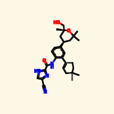 CC1(C)CC=C(c2cc([C@@H]3CC(C)(C)O[C@@](C)(CO)C3)ccc2NC(=O)c2nc(C#N)c[nH]2)CC1